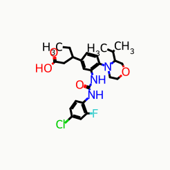 CCC(CC(=O)O)c1ccc(N2CCOCC2C(C)C)c(NC(=O)Nc2ccc(Cl)cc2F)c1